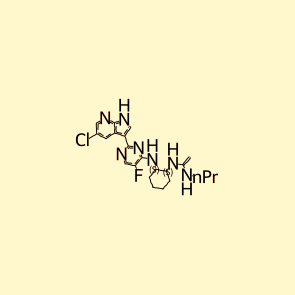 C=C(NCCC)N[C@H]1CCCC[C@@H]1Nc1nc(-c2c[nH]c3ncc(Cl)cc23)ncc1F